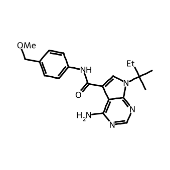 CCC(C)(C)n1cc(C(=O)Nc2ccc(COC)cc2)c2c(N)ncnc21